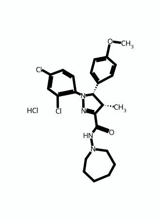 COc1ccc([C@@H]2[C@H](C)C(C(=O)NN3CCCCCC3)=NN2c2ccc(Cl)cc2Cl)cc1.Cl